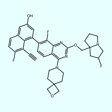 C#Cc1c(F)ccc2cc(O)cc(-c3ccc4c(N5CCC6(CC5)COC6)nc(OCC56CCCN5CC(F)C6)nc4c3F)c12